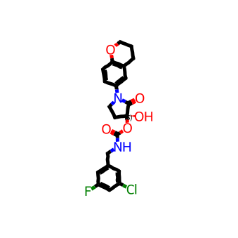 O=C(NCc1cc(F)cc(Cl)c1)O[C@@]1(O)CCN(c2ccc3c(c2)CCCO3)C1=O